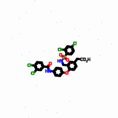 O=C(O)Cc1ccc(Oc2ccc(NC(=O)c3ccc(Cl)c(Cl)c3)cc2)c(CNS(=O)(=O)c2ccc(Cl)cc2Cl)c1